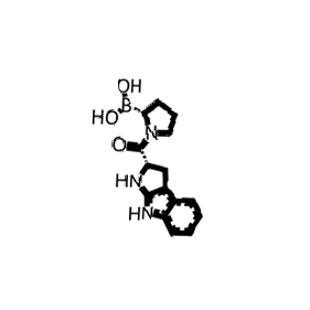 O=C([C@@H]1Cc2c([nH]c3ccccc23)N1)N1CCC[C@H]1B(O)O